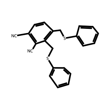 N#Cc1ccc(CSc2ccccc2)c(CSc2ccccc2)c1C#N